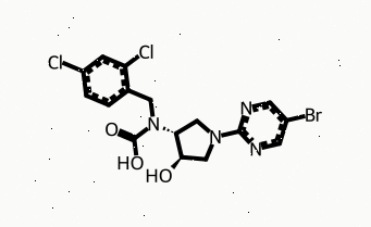 O=C(O)N(Cc1ccc(Cl)cc1Cl)[C@@H]1CN(c2ncc(Br)cn2)C[C@H]1O